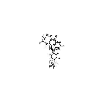 C=CC(=C)NCc1nn(-c2ccc(CC(F)(F)F)cc2)c2nccc(N(C)CCC)c12